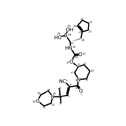 CC(C)(/C=C(\C#N)C(=O)N1CCC[C@H](OC(=O)N[C@@H](CC2=CCCC2)B(O)O)C1)N1CCOCC1